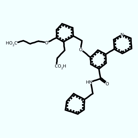 O=C(O)CCCOc1cccc(COc2cc(C(=O)NCc3ccccc3)cc(-c3cccnc3)c2)c1CCC(=O)O